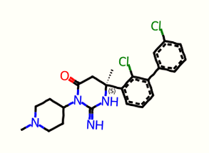 CN1CCC(N2C(=N)N[C@](C)(c3cccc(-c4cccc(Cl)c4)c3Cl)CC2=O)CC1